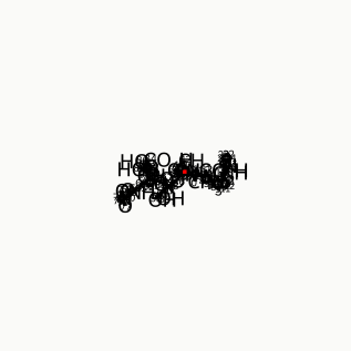 Cc1c(-c2ccc(N3CCc4cccc(C(=O)Nc5nc6ccccc6s5)c4C3)nc2C(=O)O)cnn1CC12CC3(C)CC(C)(C1)CC(OCCN(CC[C@H](O)CO)C(=O)OCc1ccc(CCCNC(=O)CN4C(=O)C=CC4=O)cc1O[C@@H]1O[C@H](C(=O)O)[C@@H](O)[C@H](O)[C@H]1O)(C3)C2